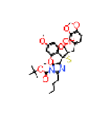 CCCCc1nc(C2(c3ccc(OC)cc3OC)SC2(Cc2ccc3c(c2)OCO3)C(=O)O)cn1C(=O)OC(C)(C)C